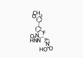 COc1cccc(-c2ccc(-n3c(C[C@@H]4CCN(C(=O)O)C4)n[nH]c3=O)c(F)c2)c1